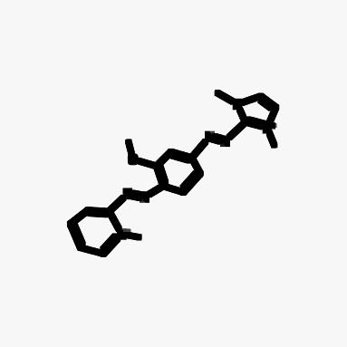 COc1cc(N=Nc2n(C)cc[n+]2C)ccc1N=Nc1cccc[n+]1C